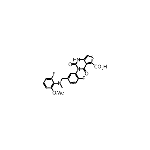 COc1cccc(F)c1N(C)Cc1ccc(F)c(-n2c(=O)[nH]c3csc(C(=O)O)c3c2=O)c1